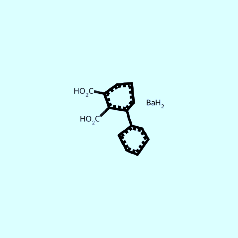 O=C(O)c1cccc(-c2ccccc2)c1C(=O)O.[BaH2]